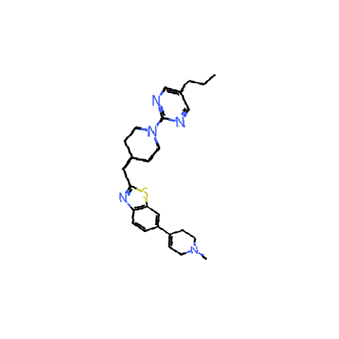 CCCc1cnc(N2CCC(Cc3nc4ccc(C5=CCN(C)CC5)cc4s3)CC2)nc1